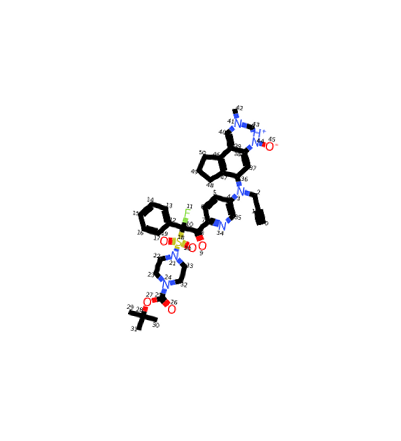 C#CCN(c1ccc(C(=O)C(F)(c2ccccc2)S(=O)(=O)N2CCN(C(=O)OC(C)(C)C)CC2)nc1)C1C=C2C(=CN(C)C[NH+]2[O-])C2=C1CCC2